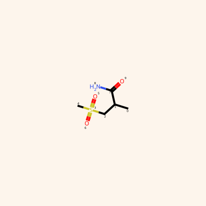 C[C](CS(C)(=O)=O)C(N)=O